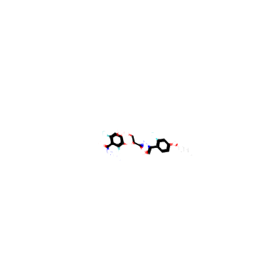 COc1ccc(-c2coc(C(CO)Oc3ccc(F)c(C(N)=O)c3F)n2)c(F)c1